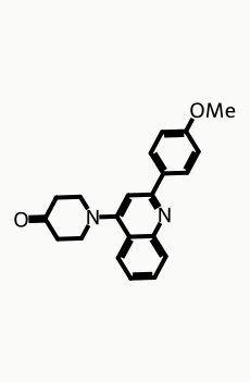 COc1ccc(-c2cc(N3CCC(=O)CC3)c3ccccc3n2)cc1